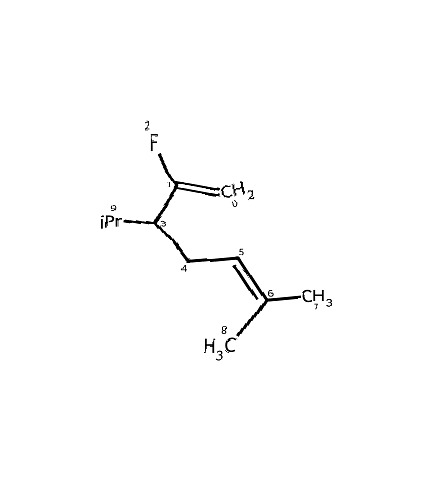 C=C(F)C(CC=C(C)C)C(C)C